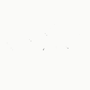 Cc1cc(F)ccc1[C@H]1C2[C@H](NCc3cn[nH]c3)CC(=O)N2C[C@@H]1O[C@H](C)c1cc(C(F)(F)F)cc(C(F)(F)F)c1